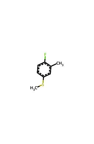 CSc1ccc(F)c(C)c1